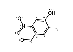 Cc1cc(C=O)c([N+](=O)[O-])cc1O